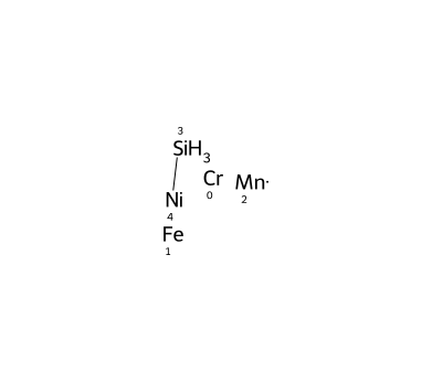 [Cr].[Fe].[Mn].[SiH3][Ni]